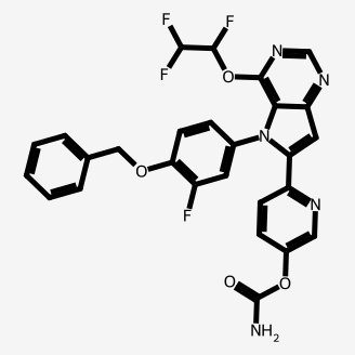 NC(=O)Oc1ccc(-c2cc3ncnc(OC(F)C(F)F)c3n2-c2ccc(OCc3ccccc3)c(F)c2)nc1